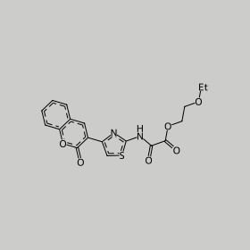 CCOCCOC(=O)C(=O)Nc1nc(-c2cc3ccccc3oc2=O)cs1